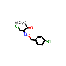 CCOC(=O)C(=O)C(CCl)=NOCc1ccc(Cl)cc1